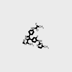 C=C(F)C(=O)Nc1ccc(-c2nn3ncnc(N)c3c2-c2ccc(Nc3nccc(C)n3)c(F)c2)cc1